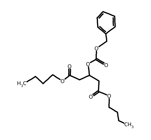 CCCCOC(=O)CC(CC(=O)OCCCC)OC(=O)OCc1ccccc1